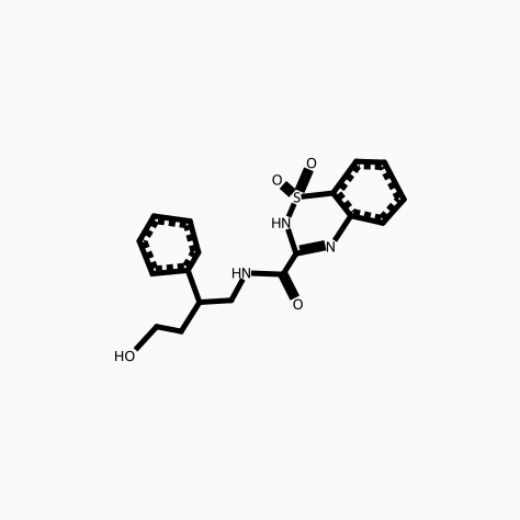 O=C(NCC(CCO)c1ccccc1)C1=Nc2ccccc2S(=O)(=O)N1